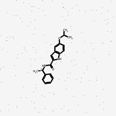 CC(C)Oc1ccc2[nH]c(C(=O)N[C@H](C)c3ccccc3)cc2c1